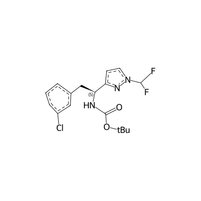 CC(C)(C)OC(=O)N[C@@H](Cc1cccc(Cl)c1)c1ccn(C(F)F)n1